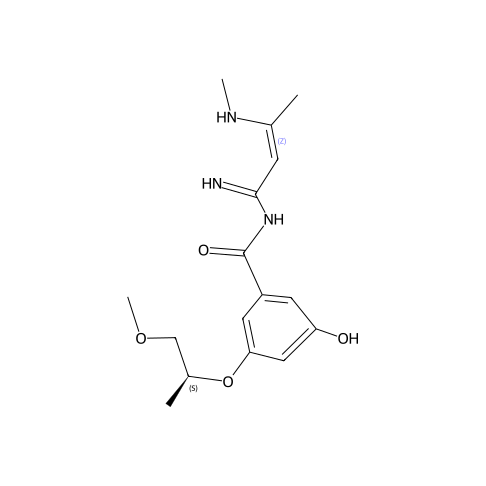 CN/C(C)=C\C(=N)NC(=O)c1cc(O)cc(O[C@@H](C)COC)c1